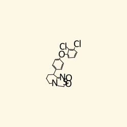 O=S1(=O)CCN2CCCC(c3ccc(Oc4cccc(Cl)c4Cl)cc3)C2=N1